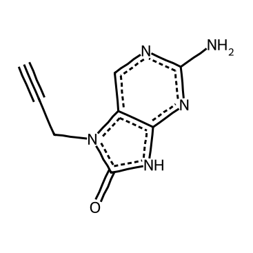 C#CCn1c(=O)[nH]c2nc(N)ncc21